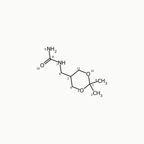 CC1(C)OCC(CNC(N)=O)CO1